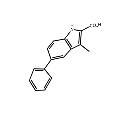 Cc1c(C(=O)O)[nH]c2ccc(-c3ccccc3)cc12